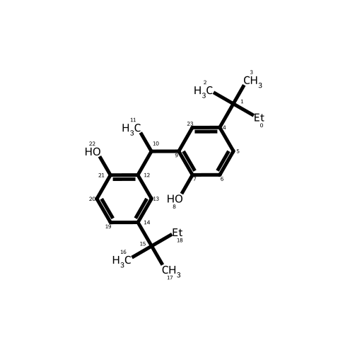 CCC(C)(C)c1ccc(O)c(C(C)c2cc(C(C)(C)CC)ccc2O)c1